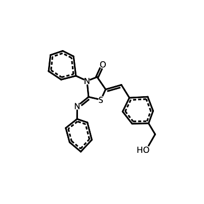 O=C1/C(=C/c2ccc(CO)cc2)S/C(=N\c2ccccc2)N1c1ccccc1